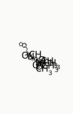 COC(=O)N(C(=O)OC(C)(C)C)C1CC[C@H](c2ccc(C(=O)CCCc3ccc4c(c3)CCC4)n2C)C1